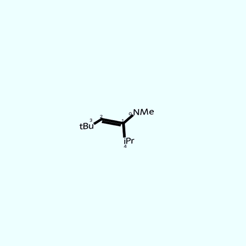 CN/C(=C/C(C)(C)C)C(C)C